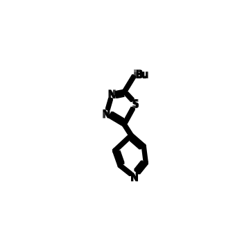 CCC(C)c1nnc(-c2ccncc2)s1